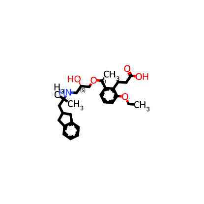 CCOc1cccc([C@@H](C)OC[C@@H](O)CNC(C)(C)CC2Cc3ccccc3C2)c1CCC(=O)O